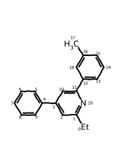 CCc1cc(-c2ccccc2)cc(-c2cccc(C)c2)n1